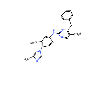 COc1cc(Nc2ncc(C(=O)O)c(Cc3ccccc3)n2)ccc1-n1cnc(C)c1